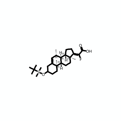 C[C@H]1C=C2CC(O[Si](C)(C)C(C)(C)C)CC[C@]2(C)[C@H]2CC[C@]3(C)C(=C(F)C(=O)O)CC[C@H]3[C@H]12